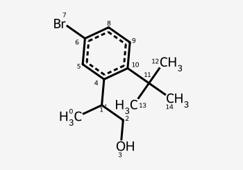 C[C](CO)c1cc(Br)ccc1C(C)(C)C